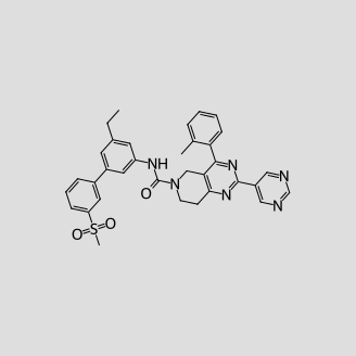 CCc1cc(NC(=O)N2CCc3nc(-c4cncnc4)nc(-c4ccccc4C)c3C2)cc(-c2cccc(S(C)(=O)=O)c2)c1